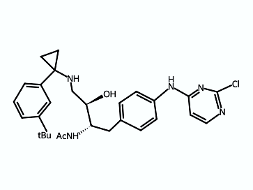 CC(=O)N[C@@H](Cc1ccc(Nc2ccnc(Cl)n2)cc1)[C@H](O)CNC1(c2cccc(C(C)(C)C)c2)CC1